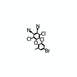 Cc1cc(Br)cc(C)c1Oc1c(Cl)c(Cl)c(C#N)c(C#N)c1Cl